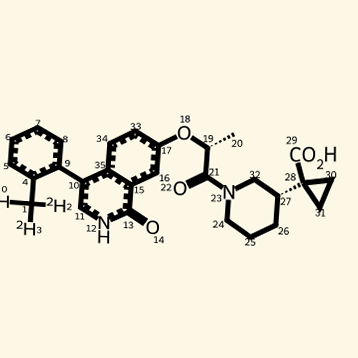 [2H]C([2H])([2H])c1ccccc1-c1c[nH]c(=O)c2cc(O[C@H](C)C(=O)N3CCC[C@@H](C4(C(=O)O)CC4)C3)ccc12